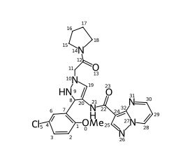 COc1ccc(Cl)cc1C1NN(CC(=O)N2CCCC2)C=C1NC(=O)c1cnn2cccnc12